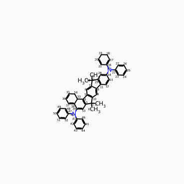 CC1(C)C2=C(c3cc4c(cc31)-c1ccc(N(C3=CCCC=C3)c3ccccc3)cc1C4(C)C)C1CC=CC=C1C(N(c1ccccc1)c1ccccc1)=C2